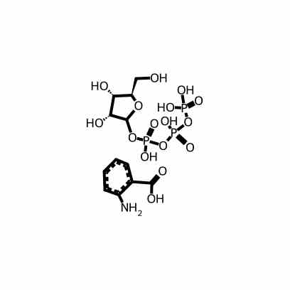 Nc1ccccc1C(=O)O.O=P(O)(O)OP(=O)(O)OP(=O)(O)OC1O[C@H](CO)[C@@H](O)[C@H]1O